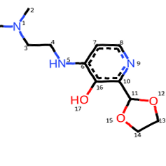 CN(C)CCNc1ccnc(C2OCCO2)c1O